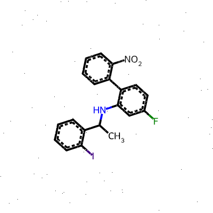 CC(Nc1cc(F)ccc1-c1ccccc1[N+](=O)[O-])c1ccccc1I